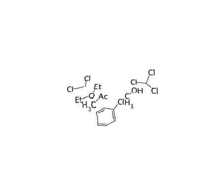 CC(C)=O.CCOCC.CO.ClC(Cl)Cl.ClCCl.Clc1ccccc1